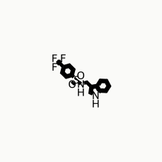 O=S(=O)(NCc1c[nH]c2ccccc12)c1ccc(C(F)(F)F)cc1